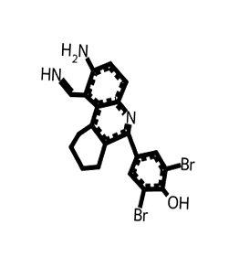 N=Cc1c(N)ccc2nc(-c3cc(Br)c(O)c(Br)c3)c3c(c12)CCCC3